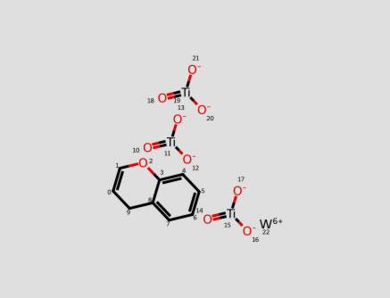 C1=COc2ccccc2C1.[O]=[Ti]([O-])[O-].[O]=[Ti]([O-])[O-].[O]=[Ti]([O-])[O-].[W+6]